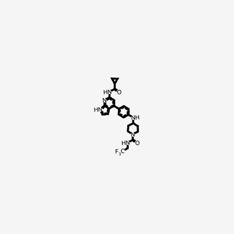 O=C(Nc1cc(-c2ccc(NC3CCN(C(=O)NCC(F)(F)F)CC3)cc2)c2cc[nH]c2n1)C1CC1